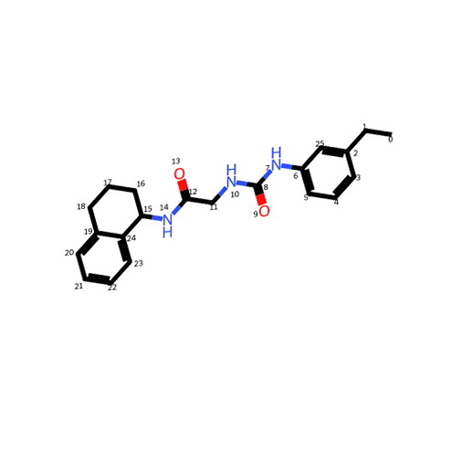 CCc1cccc(NC(=O)NCC(=O)NC2CCCc3ccccc32)c1